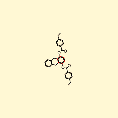 CCc1ccc(C(=O)Oc2ccc(OC(=O)c3ccc(CC)cc3)c3c2C2c4ccccc4C3c3ccccc32)cc1